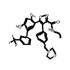 CCNC(=O)c1noc(-c2cc(-c3cccc(C(F)(F)F)c3)c(O)cc2O)c1-c1ccc(CN2CCOCC2)cc1